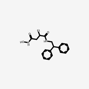 CCC(CC(=O)NO)C(=O)NCC(c1ccccc1)c1ccccc1